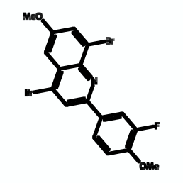 COc1cc(Br)c2nc(-c3ccc(OC)c(F)c3)cc(Br)c2c1